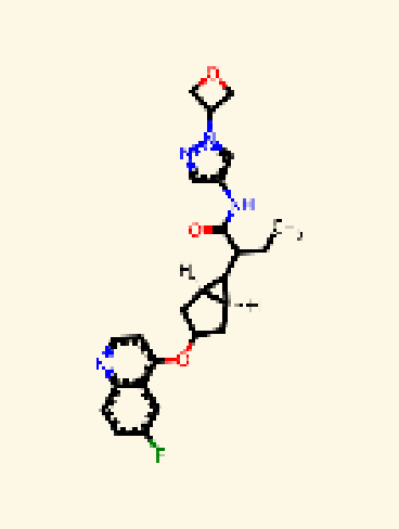 CCC(C(=O)Nc1cnn(C2COC2)c1)C1[C@H]2CC(Oc3ccnc4ccc(F)cc34)C[C@@H]12